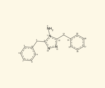 Nn1c(Cc2ccccc2)nnc1Cc1ccccc1